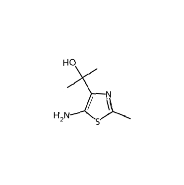 Cc1nc(C(C)(C)O)c(N)s1